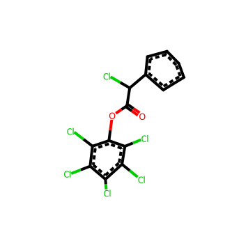 O=C(Oc1c(Cl)c(Cl)c(Cl)c(Cl)c1Cl)C(Cl)c1ccccc1